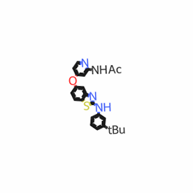 CC(=O)Nc1cc(Oc2ccc3sc(Nc4cccc(C(C)(C)C)c4)nc3c2)ccn1